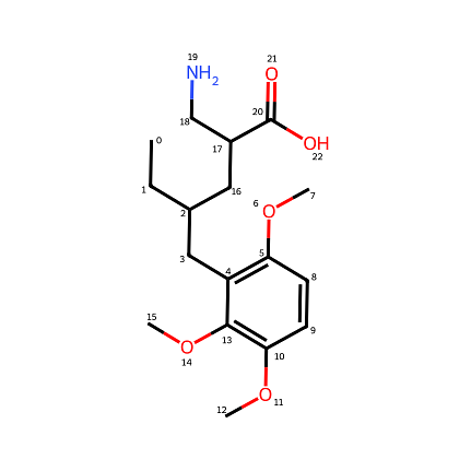 CCC(Cc1c(OC)ccc(OC)c1OC)CC(CN)C(=O)O